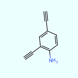 C#Cc1ccc(N)c(C#C)c1